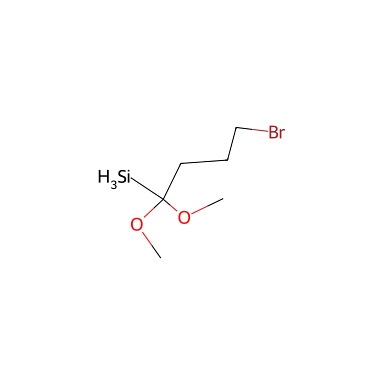 COC([SiH3])(CCCBr)OC